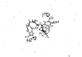 C[C@H](Cc1ccc2c(c1)cc(C(=O)O)n2C)NC[C@H](O[Si](C)(C)C(C)(C)C)c1ccc(O)c(CO)c1